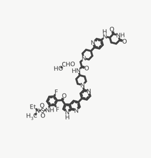 CCN(C)S(=O)(=O)Nc1ccc(F)c(C(=O)c2c[nH]c3ncc(-c4ccnc(N5CCC(NC(=O)CN6CCC(c7ccc(NC8CCC(=O)NC8=O)cn7)CC6)CC5)c4)cc23)c1F.O=CO